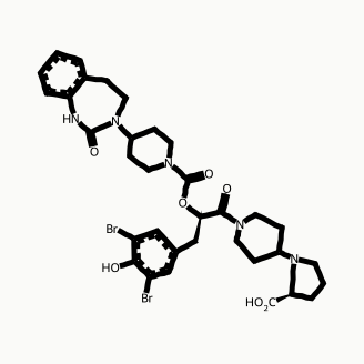 O=C(O)[C@@H]1CCCN1C1CCN(C(=O)[C@@H](Cc2cc(Br)c(O)c(Br)c2)OC(=O)N2CCC(N3CCc4ccccc4NC3=O)CC2)CC1